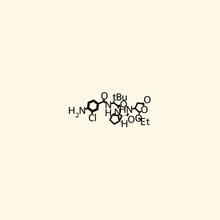 CCO[C@@H]1OC(=O)CC1NC(=O)[C@@H]1[C@H]2CCC(C2)N1C(=O)[C@@H](NC(=O)c1ccc(N)c(Cl)c1)C(C)(C)C